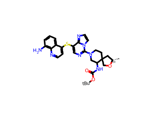 C[C@H]1CC2(CCN(c3ncc(Sc4ccnc5c(N)cccc45)c4nccn34)CC2NC(=O)OC(C)(C)C)CO1